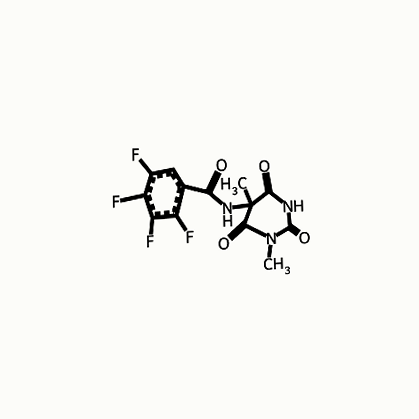 CN1C(=O)NC(=O)C(C)(NC(=O)c2cc(F)c(F)c(F)c2F)C1=O